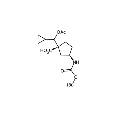 CC(=O)OC(C1CC1)[C@]1(C(=O)O)CC[C@@H](NC(=O)OC(C)(C)C)C1